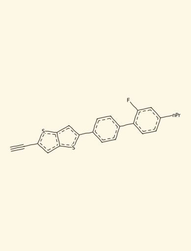 C#Cc1cc2sc(-c3ccc(-c4ccc(CCC)cc4F)cc3)cc2s1